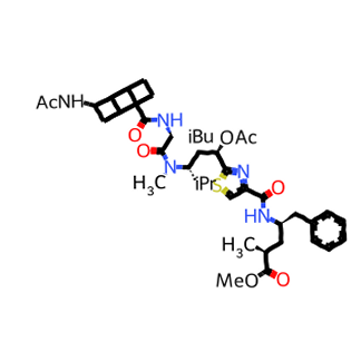 CC[C@H](C)[C@H](NC(=O)C12C3C4C1C1C2C3C41NC(C)=O)C(=O)N(C)[C@H](C[C@@H](OC(C)=O)c1nc(C(=O)N[C@@H](Cc2ccccc2)C[C@H](C)C(=O)OC)cs1)C(C)C